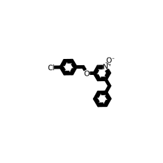 [O-][n+]1cc(Cc2ccccc2)cc(OCc2ccc(Cl)cc2)c1